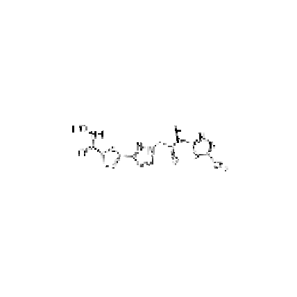 O=C(Cn1ccc(-c2ccc(C(=O)NO)s2)n1)Nc1nnc(C(F)(F)F)s1